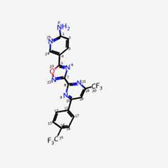 Nc1ccc(-c2nc(-c3nc(-c4ccc(C(F)(F)F)cc4)cc(C(F)(F)F)n3)no2)cn1